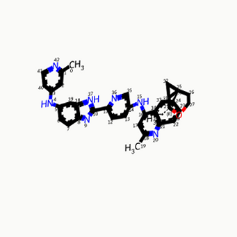 Cc1cc(Nc2ccc3nc(-c4ccc(Nc5cc(C)nc6ccc([C@@]78CCO[C@H](C)C7C8)cc56)cn4)[nH]c3c2)ccn1